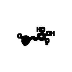 COc1cc(C=CC2=CC(=O)C3CC2C3(C)C)cc(O)c1O